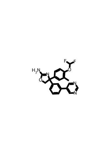 Cc1cc(C2(c3cccc(-c4cncnc4)c3)COC(N)=N2)ccc1OC(F)F